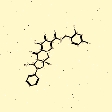 C[C@@H]1[C@H](c2ccccc2)O[C@H]2Cn3cc(C(=O)NCc4ccc(F)cc4F)c(=O)c(O)c3C(=O)N21